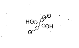 Oc1ccc(C(c2ccc(CCC3CO3)cc2)C(c2ccc(O)cc2)c2ccc(OCC3CO3)cc2)cc1